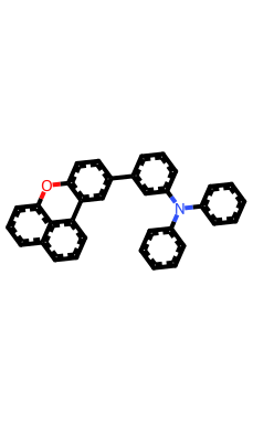 c1ccc(N(c2ccccc2)c2cccc(-c3ccc4c(c3)-c3cccc5cccc(c35)O4)c2)cc1